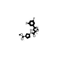 COC(=O)[C@@H]1C=C[C@H](NC(=O)[C@@]2(C)CC(c3cc(F)cc(F)c3)=NO2)C1